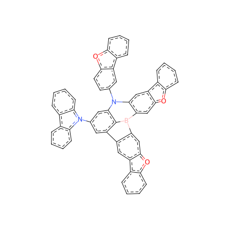 c1ccc2c(c1)oc1ccc(N3c4cc5c(cc4B4c6cc7oc8ccccc8c7cc6-c6cc(-n7c8ccccc8c8ccccc87)cc3c64)oc3ccccc35)cc12